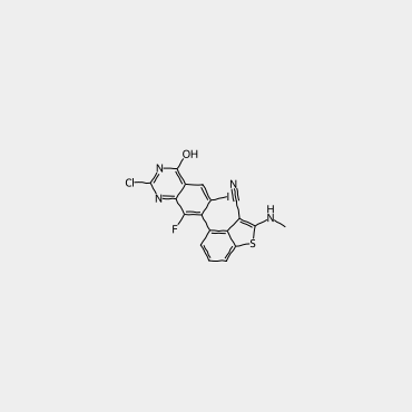 CNc1sc2cccc(-c3c(I)cc4c(O)nc(Cl)nc4c3F)c2c1C#N